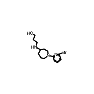 OCCCNC1CCCN(c2cccc(Br)n2)CC1